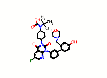 CC(C)(C)N(C(=O)O)[C@H]1CC[C@@H](n2c(=O)c3cc(F)cnc3n(-c3cccc(-c4ccc(O)cc4CN4CCOCC4)c3)c2=O)CC1